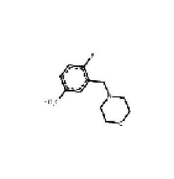 O=C(O)c1ccc(Br)c(CN2CCOCC2)c1